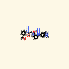 CC(=O)c1cccc(NC(=O)CN2Cc3cccc(Nc4ccc5c(cnn5C)c4)c3C2=O)c1